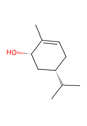 CC1=CC[C@H](C(C)C)C[C@@H]1O